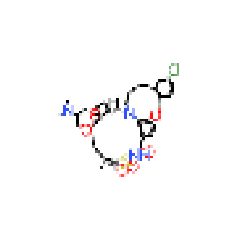 C[C@@H]1[C@@H](C)CCC[C@]2(OC[C@H](N(C)C)CO2)[C@@H]2CC[C@H]2CN2CCCCc3cc(Cl)ccc3COc3ccc(cc32)C(=O)NS1(=O)=O